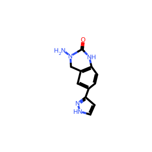 NN1Cc2cc(-c3cc[nH]n3)ccc2NC1=O